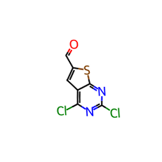 O=Cc1cc2c(Cl)nc(Cl)nc2s1